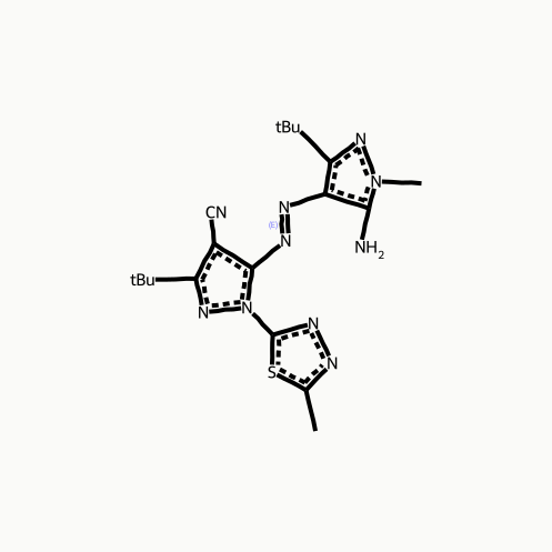 Cc1nnc(-n2nc(C(C)(C)C)c(C#N)c2/N=N/c2c(C(C)(C)C)nn(C)c2N)s1